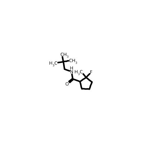 CC(C)(C)CNC(=O)C1CCCC1(C)F